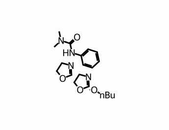 C1=NCCO1.C1=NCCO1.CCCC[O].CN(C)C(=O)Nc1ccccc1